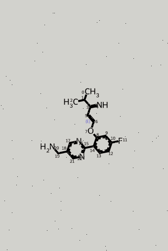 CC(C)C(=N)/C=C/Oc1cc(F)ccc1-c1ncc(CN)cn1